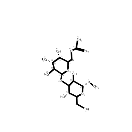 CO[C@@H]1OC(CO)[C@H](O)C(O[C@@H]2OC(COC(C)=O)[C@@H](O)[C@@H](C)C2O)C1O